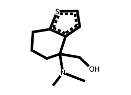 CN(C)C1(CO)CCCc2sccc21